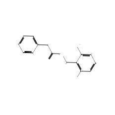 O=C(Cc1ccccc1)NCc1c(F)cccc1Cl